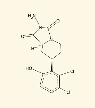 NN1C(=O)[C@@H]2C[C@H](c3c(O)ccc(Cl)c3Cl)CCN2C1=O